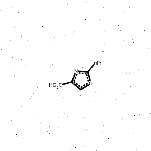 CCCc1nc(C(=O)O)co1